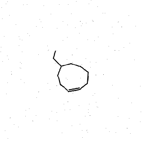 [CH2]CC1CCC=CCCCC1